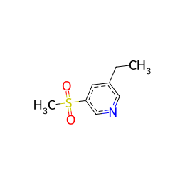 CCc1cncc(S(C)(=O)=O)c1